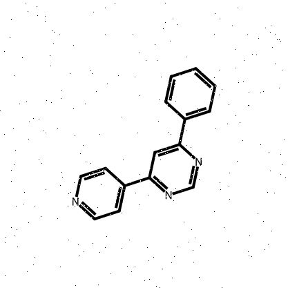 c1ccc(-c2cc(-c3ccncc3)ncn2)cc1